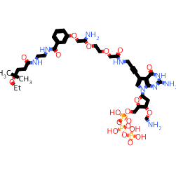 CCOC(C)(C)CCC(=O)NCCNC(=O)c1cccc(OCC(N)OCCOCC(=O)NCC#Cc2cn(C3CC(OCN)C(COP(=O)(O)OP(=O)(O)OP(=O)(O)O)O3)c3nc(N)[nH]c(=O)c23)c1